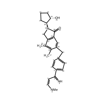 CN/C=C\C(=N)c1ccc(Cc2cc3c(c(C)c2C)CN([C@H]2CCC[C@@H]2O)C3=O)cc1